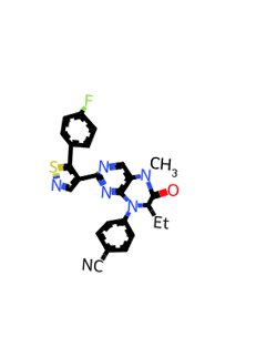 CCC1C(=O)N(C)c2cnc(-c3cnsc3-c3ccc(F)cc3)nc2N1c1ccc(C#N)cc1